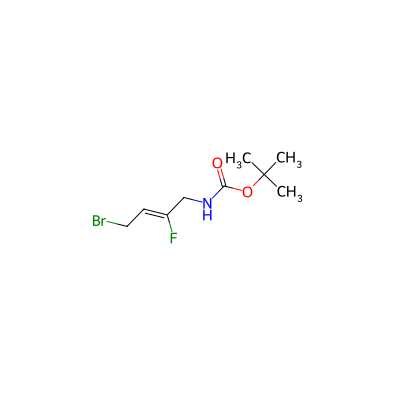 CC(C)(C)OC(=O)NCC(F)=CCBr